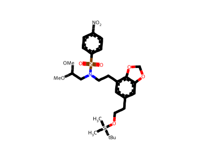 COC(CN(CCc1cc(CCO[Si](C)(C)C(C)(C)C)cc2c1OCO2)S(=O)(=O)c1ccc([N+](=O)[O-])cc1)OC